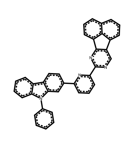 c1ccc(-n2c3ccccc3c3ccc(-c4cccc(-c5ncc6c(n5)-c5cccc7cccc-6c57)n4)cc32)cc1